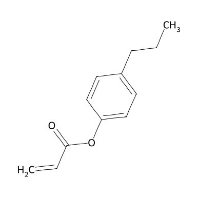 C=CC(=O)Oc1ccc(CCC)cc1